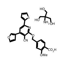 COc1cc(COc2nc(-c3cccs3)cc(-c3ccoc3)c2C#N)ccc1C(=O)O.NC(CO)(CO)CO